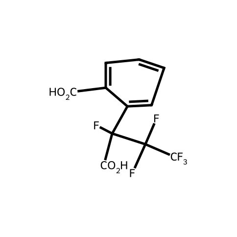 O=C(O)c1ccccc1C(F)(C(=O)O)C(F)(F)C(F)(F)F